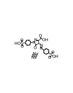 O=C(O)C1=NN(c2ccc(S(=O)(=O)O)cc2)C(=O)C1N=Nc1ccc(S(=O)(=O)O)cc1.[Na].[Na].[Na]